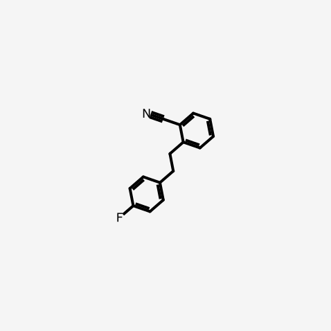 N#Cc1ccccc1CCc1ccc(F)cc1